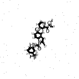 CON(C)C(=O)c1cc(Oc2ccc3c(cc(C)n3C(=O)Nc3cccc(C(F)(F)F)c3)c2F)ccn1